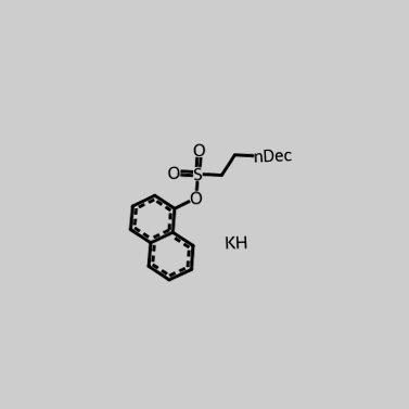 CCCCCCCCCCCCS(=O)(=O)Oc1cccc2ccccc12.[KH]